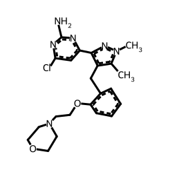 Cc1c(Cc2ccccc2OCCN2CCOCC2)c(-c2cc(Cl)nc(N)n2)nn1C